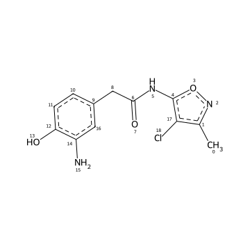 Cc1noc(NC(=O)Cc2ccc(O)c(N)c2)c1Cl